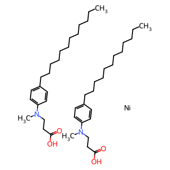 CCCCCCCCCCCCc1ccc(N(C)CCC(=O)O)cc1.CCCCCCCCCCCCc1ccc(N(C)CCC(=O)O)cc1.[Ni]